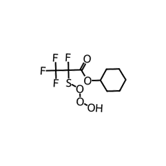 O=C(OC1CCCCC1)C(F)(SOOO)C(F)(F)F